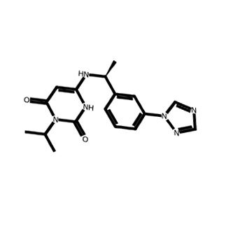 CC(C)n1c(=O)cc(N[C@@H](C)c2cccc(-n3cncn3)c2)[nH]c1=O